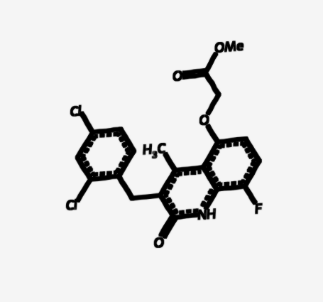 COC(=O)COc1ccc(F)c2[nH]c(=O)c(Cc3ccc(Cl)cc3Cl)c(C)c12